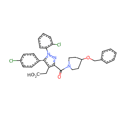 O=C(O)Cc1c(C(=O)N2CCC(OCc3ccccc3)CC2)nn(-c2ccccc2Cl)c1-c1ccc(Cl)cc1